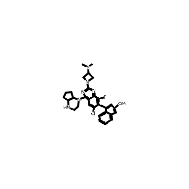 CN(C)C1CN(c2nc(N3CCNC4CCCC43)c3cc(Cl)c(-c4cc(O)cc5ccccc45)c(F)c3n2)C1